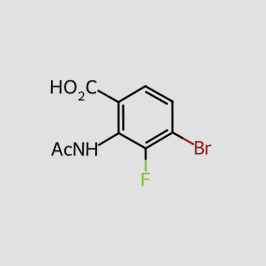 CC(=O)Nc1c(C(=O)O)ccc(Br)c1F